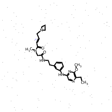 CCc1ncc(Nc2cccc(CCNC(=O)CN(C)C(=O)/C=C/CN3CCC3)c2)nc1OC